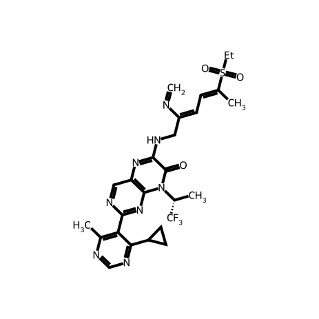 C=N/C(=C\C=C(/C)S(=O)(=O)CC)CNc1nc2cnc(-c3c(C)ncnc3C3CC3)nc2n([C@H](C)C(F)(F)F)c1=O